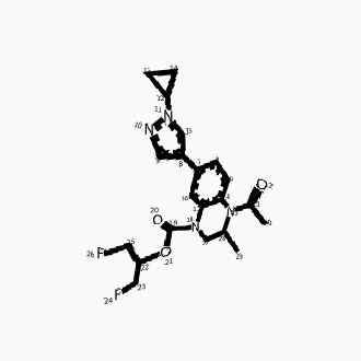 CC(=O)N1c2ccc(-c3cnn(C4CC4)c3)cc2N(C(=O)OC(CF)CF)CC1C